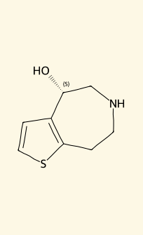 O[C@@H]1CNCCc2sccc21